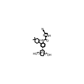 CC1(C)CC=C(c2cc([C@@H]3C[C@]4(CO)CC[C@](CO)(C3)O4)ccc2NC(=O)c2nc(C#N)c[nH]2)CC1